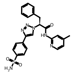 Cc1ccnc(NC(=O)[C@H](Cc2ccccc2)n2cc(-c3ccc(S(N)(=O)=O)cc3)nn2)c1